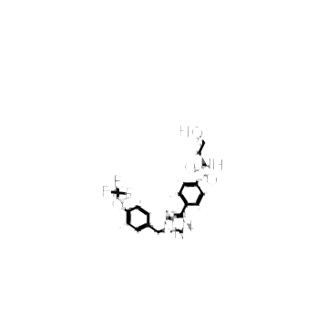 O=S(=O)(NCCO)c1ccc(-c2nnn(Cc3ccc(OC(F)(F)F)cc3)n2)cc1